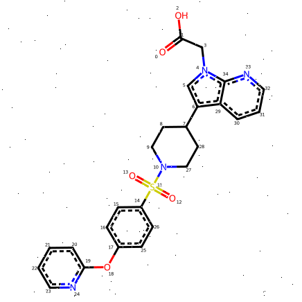 O=C(O)Cn1cc(C2CCN(S(=O)(=O)c3ccc(Oc4ccccn4)cc3)CC2)c2cccnc21